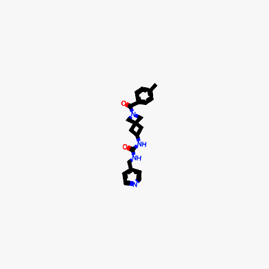 Cc1ccc(C(=O)N2CC3(CC(NC(=O)NCc4ccncc4)C3)C2)cc1